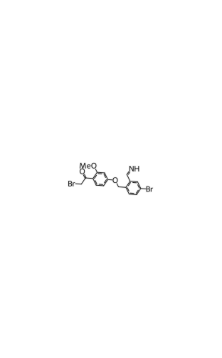 COc1cc(OCc2ccc(Br)cc2C=N)ccc1C(=O)CBr